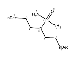 CCCCCCCCCCCCN(CCCCCCCCCCCC)P(N)(N)=O